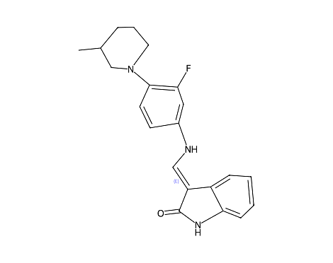 CC1CCCN(c2ccc(N/C=C3/C(=O)Nc4ccccc43)cc2F)C1